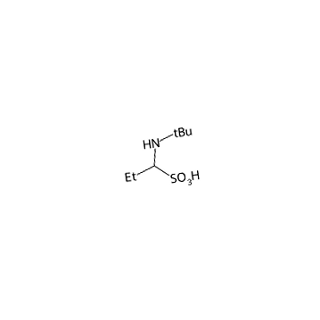 CCC(NC(C)(C)C)S(=O)(=O)O